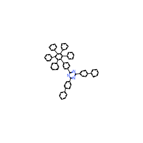 c1ccc(-c2ccc(-c3nc(-c4ccc(-c5ccccc5)cc4)nc(-c4ccc(-c5c(-c6ccccc6)c(-c6ccccc6)c(-c6ccccc6)c(-c6ccccc6)c5-c5ccccc5)cc4)n3)cc2)cc1